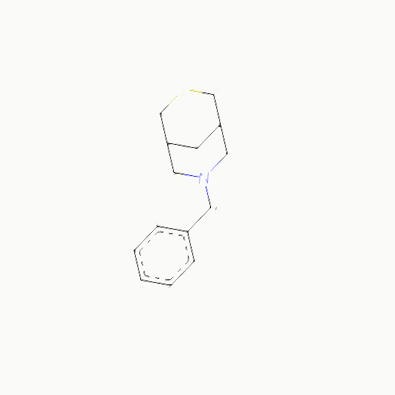 c1ccc(CN2CC3CSCC(C3)C2)cc1